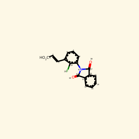 O=C(O)C=Cc1cccc(N2C(=O)c3ccccc3C2=O)c1F